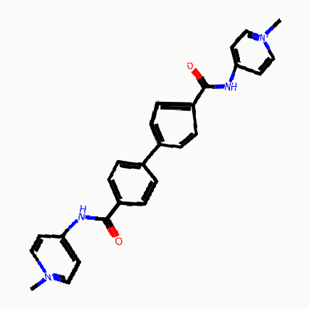 C[n+]1ccc(NC(=O)c2ccc(-c3ccc(C(=O)Nc4cc[n+](C)cc4)cc3)cc2)cc1